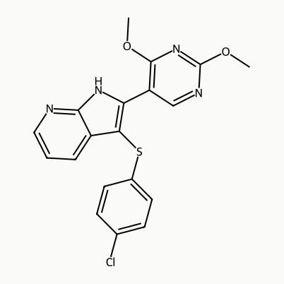 COc1ncc(-c2[nH]c3ncccc3c2Sc2ccc(Cl)cc2)c(OC)n1